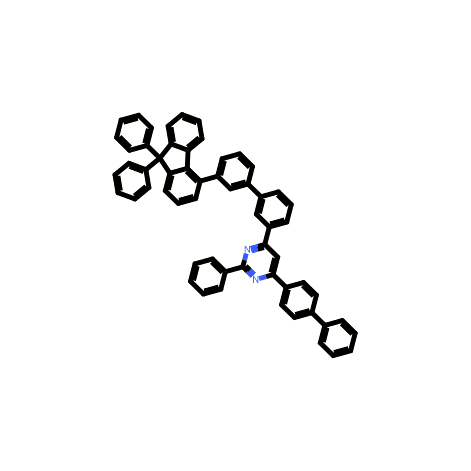 c1ccc(-c2ccc(-c3cc(-c4cccc(-c5cccc(-c6cccc7c6-c6ccccc6C7(c6ccccc6)c6ccccc6)c5)c4)nc(-c4ccccc4)n3)cc2)cc1